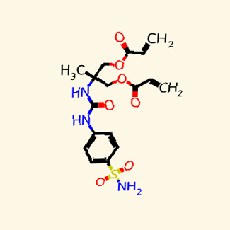 C=CC(=O)OCC(C)(COC(=O)C=C)NC(=O)Nc1ccc(S(N)(=O)=O)cc1